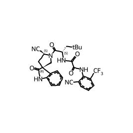 CC(C)(C)C[C@H](NC(=O)C(=O)Nc1c(C#N)cccc1C(F)(F)F)C(=O)N1C[C@]2(C[C@H]1C#N)C(=O)Nc1ccccc12